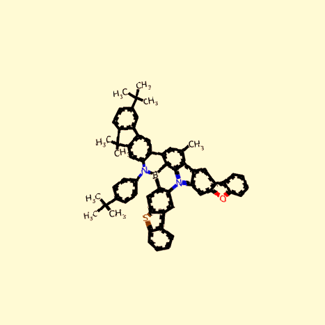 Cc1cc2c3c4c1c1cc5c(cc1n4-c1cc4c(cc1B3N(c1ccc(C(C)(C)C)cc1)c1cc3c(cc1-2)-c1cc(C(C)(C)C)ccc1C3(C)C)sc1ccccc14)oc1ccccc15